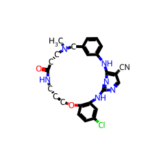 CN1CCC(=O)NCCCOc2ccc(Cl)cc2Nc2ncc(C#N)c(n2)Nc2cccc(c2)C1